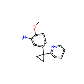 COc1ccc(C2(c3ccccn3)CC2)cc1N